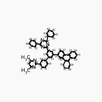 Cc1cc(C)nc(-c2cccc(-c3cc(-c4ccc5c(c4)c4c(c6ccccc65)C=CCC4)cc(-c4nc(-c5ccccc5)nc(-c5ccccc5)n4)c3)c2)n1